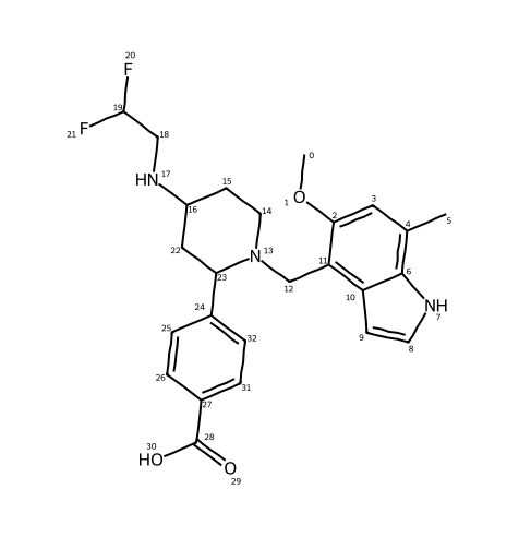 COc1cc(C)c2[nH]ccc2c1CN1CCC(NCC(F)F)CC1c1ccc(C(=O)O)cc1